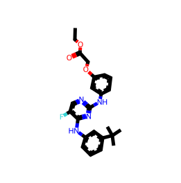 CCOC(=O)COc1cccc(Nc2ncc(F)c(Nc3cccc(C(C)(C)C)c3)n2)c1